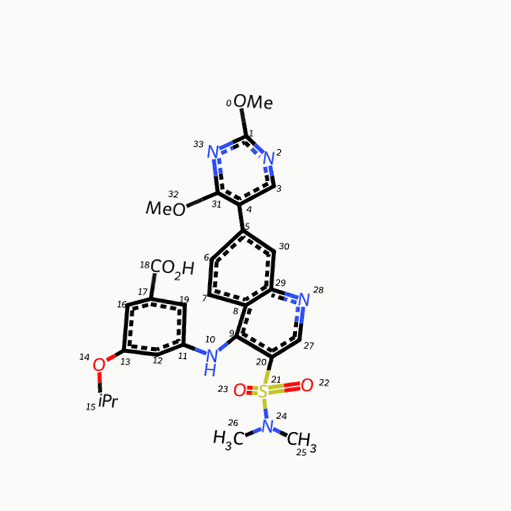 COc1ncc(-c2ccc3c(Nc4cc(OC(C)C)cc(C(=O)O)c4)c(S(=O)(=O)N(C)C)cnc3c2)c(OC)n1